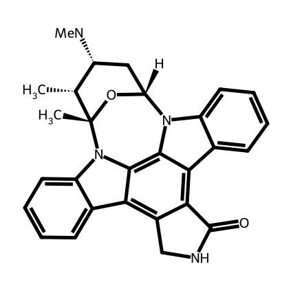 CN[C@@H]1C[C@H]2O[C@@](C)([C@@H]1C)n1c3ccccc3c3c4c(c5c6ccccc6n2c5c31)C(=O)NC4